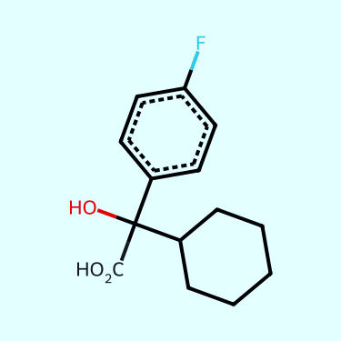 O=C(O)C(O)(c1ccc(F)cc1)C1CCCCC1